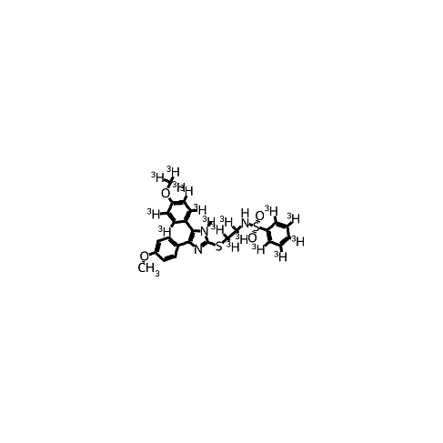 [3H]c1c([3H])c([3H])c(S(=O)(=O)NC([3H])([3H])C([3H])([3H])Sc2nc(-c3ccc(OC)cc3)c(-c3c([3H])c([3H])c(OC([3H])([3H])[3H])c([3H])c3[3H])n2[3H])c([3H])c1[3H]